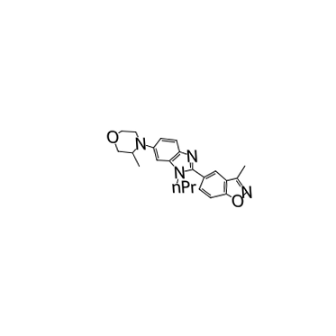 CCCn1c(-c2ccc3onc(C)c3c2)nc2ccc(N3CCOCC3C)cc21